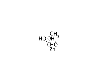 O.O.O=CO.[Zn]